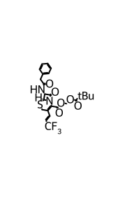 CC(C)(C)C(=O)OCOC(=O)C1=C(C=CC(F)(F)F)CS[C@H]2C(NC(=O)Cc3ccccc3)C(=O)N12